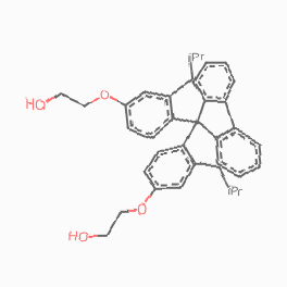 CC(C)Cc1cc(OCCO)ccc1C1(c2ccc(OCCO)cc2CC(C)C)c2ccccc2-c2ccccc21